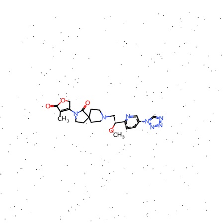 CO[C@@H](CN1CCC2(CC1)CCN(C1=C(C)C(=O)OC1)C2=O)c1ccc(-n2cnnn2)cn1